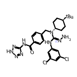 CC(C)(C)[C@H]1CC[C@H](N(Cc2ccc(C(=O)Nc3nn[nH]n3)cc2)/C(=N\N)Nc2cc(Cl)cc(Cl)c2)CC1